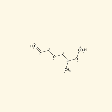 C=CCOCC(C)OC(=O)O